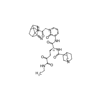 CCNC(=O)C(=O)CC[C@H](NC(=O)C1CN2CCC1CC2)C(=O)Nc1cccn(CC(=O)NC2(C#N)C3CC4CC(C3)C2C4)c1=O